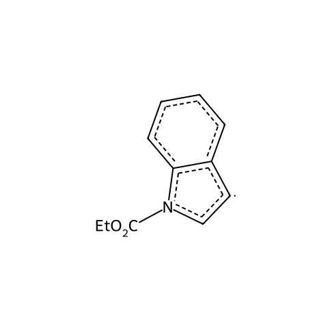 CCOC(=O)n1c[c]c2ccccc21